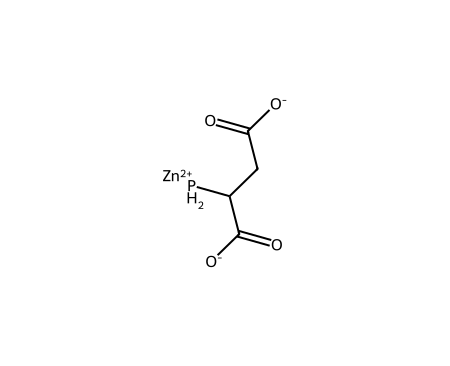 O=C([O-])CC(P)C(=O)[O-].[Zn+2]